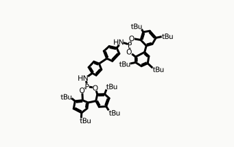 CC(C)(C)c1cc(C(C)(C)C)c2op(Nc3ccc(-c4ccc(Np5oc6c(C(C)(C)C)cc(C(C)(C)C)cc6c6cc(C(C)(C)C)cc(C(C)(C)C)c6o5)cc4)cc3)oc3c(C(C)(C)C)cc(C(C)(C)C)cc3c2c1